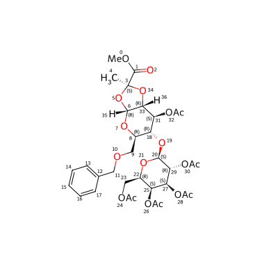 COC(=O)[C@]1(C)O[C@H]2O[C@H](COCc3ccccc3)[C@@H](O[C@@H]3O[C@H](COC(C)=O)[C@H](OC(C)=O)[C@H](OC(C)=O)[C@H]3OC(C)=O)[C@H](OC(C)=O)[C@H]2O1